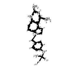 Nc1nc(N)c2c(ccc3c2ccn3Cc2ccc(OC(F)(F)F)cc2)n1